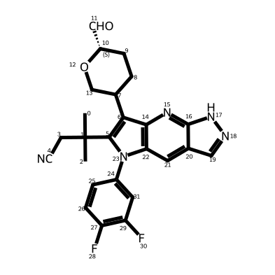 CC(C)(CC#N)c1c(C2CC[C@@H](C=O)OC2)c2nc3[nH]ncc3cc2n1-c1ccc(F)c(F)c1